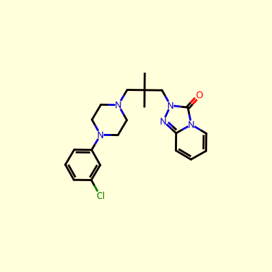 CC(C)(CN1CCN(c2cccc(Cl)c2)CC1)Cn1nc2ccccn2c1=O